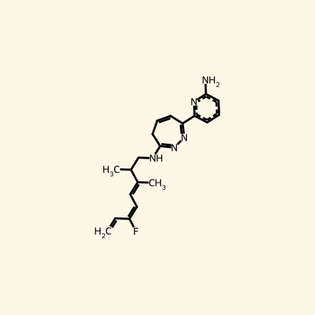 C=C/C(F)=C\C=C(/C)C(C)CNC1=NN=C(c2cccc(N)n2)C=CC1